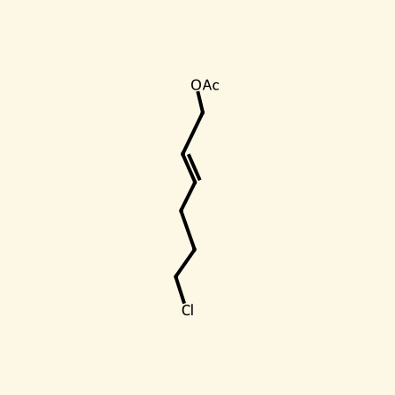 CC(=O)OCC=CCCCCl